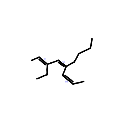 C\C=C/C(=C\C(=C\C)CC)CCCC